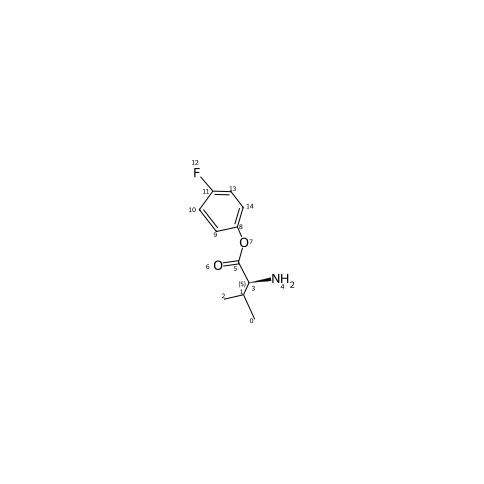 CC(C)[C@H](N)C(=O)Oc1ccc(F)cc1